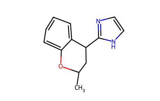 CC1CC(c2ncc[nH]2)c2ccccc2O1